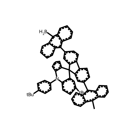 Bc1c2ccccc2c(-c2ccc3c(c2)C2(c4cc(-c5c6ccccc6c(C)c6ccccc56)ccc4-3)c3ccccc3N(c3ccc(C(C)(C)C)cc3)c3ccc(C(C)(C)C)cc32)c2ccccc12